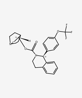 O=C(O[C@@H]1CN2CCC1CC2)N1CCc2ccccc2[C@@H]1c1ccc(OC(F)(F)F)cc1